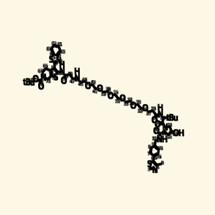 Cc1ncsc1-c1ccc(CNC(=O)[C@@H]2C[C@@H](O)CN2C(=O)C(NC(=O)CCOCCOCCOCCOCCOCCOCCNCCC(=O)Nc2sc3c(c2-c2nc4ccccc4s2)CCN(C(=O)OC(C)(C)C)C3)C(C)(C)C)cc1